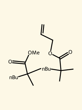 C=CCOC(=O)C(C)(C)CCCC.CCCCC(C)(C)C(=O)OC